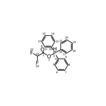 O=C(O[PH](c1ccccc1)(c1ccccc1)c1ccccc1)C(F)F